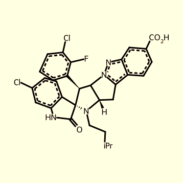 CC(C)CCN1[C@H]2Cc3c4ccc(C(=O)O)cc4nn3C2[C@H](c2cccc(Cl)c2F)[C@]12C(=O)Nc1cc(Cl)ccc12